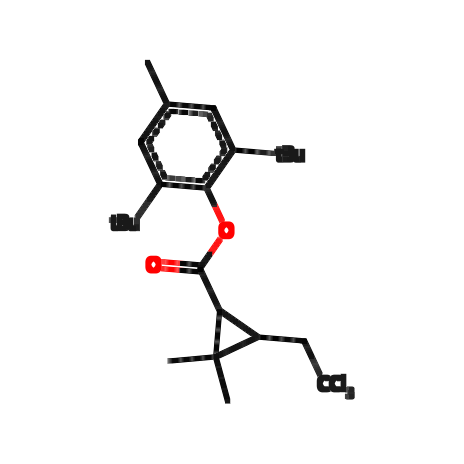 Cc1cc(C(C)(C)C)c(OC(=O)C2C(CC(Cl)(Cl)Cl)C2(C)C)c(C(C)(C)C)c1